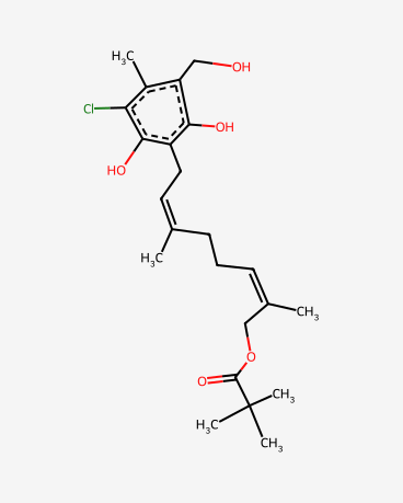 CC(=CCc1c(O)c(Cl)c(C)c(CO)c1O)CCC=C(C)COC(=O)C(C)(C)C